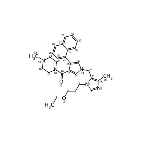 CCOCCCn1cnc(C)c1Cn1cc(C(=O)N2CCN(C)CC2)c(-c2cccc3ccccc23)c1